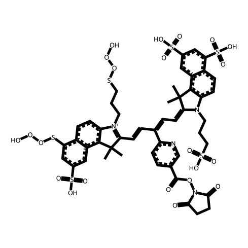 CC1(C)C(/C=C/C(=C/C=C2/N(CCCS(=O)(=O)O)c3ccc4c(S(=O)(=O)O)cc(S(=O)(=O)O)cc4c3C2(C)C)c2ccc(C(=O)ON3C(=O)CCC3=O)cn2)=[N+](CCCSOOO)c2ccc3c(SOOO)cc(S(=O)(=O)O)cc3c21